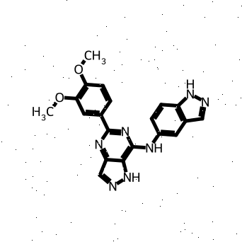 COc1ccc(-c2nc(Nc3ccc4[nH]ncc4c3)c3[nH]ncc3n2)cc1OC